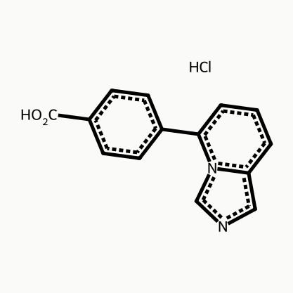 Cl.O=C(O)c1ccc(-c2cccc3cncn23)cc1